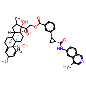 Cc1cncc2ccc(NC(=O)[C@@H]3C[C@H]3c3cccc(C(=O)OCC(=O)[C@@]4(O)[C@H](C)C[C@H]5[C@@H]6CCC7=CC(O)C=C[C@]7(C)[C@@]6(F)[C@@H](O)C[C@@]54C)c3)cc12